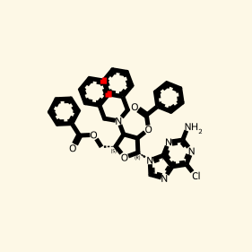 Nc1nc(Cl)c2ncn([C@@H]3O[C@H](COC(=O)c4ccccc4)C(N(Cc4ccccc4)Cc4ccccc4)C3OC(=O)c3ccccc3)c2n1